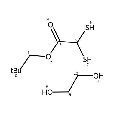 CC(C)(C)COC(=O)C(S)S.OCCO